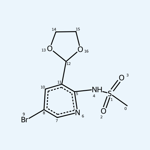 CS(=O)(=O)Nc1ncc(Br)cc1C1OCCO1